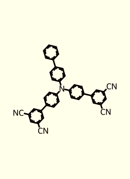 N#Cc1cc(C#N)cc(-c2ccc(N(c3ccc(-c4ccccc4)cc3)c3ccc(-c4cc(C#N)cc(C#N)c4)cc3)cc2)c1